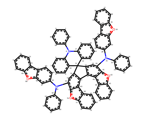 c1ccc(N2c3ccccc3C3(c4ccccc42)c2cc(N(c4ccccc4)c4ccc5c(c4)oc4ccccc45)c4oc5ccccc5c4c2-c2c3cc(N(c3ccccc3)c3ccc4c(c3)oc3ccccc34)c3oc4ccccc4c23)cc1